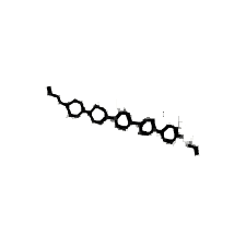 C=CCCC1CCC(C2CC=C(c3ccc(-c4ccc(-c5ccc(OCC=C)c(F)c5F)cc4)cc3F)CC2)CC1